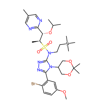 COc1ccc(Br)c(-c2nnc(N(CC[Si](C)(C)C)S(=O)(=O)[C@@H](C)[C@@H](OC(C)C)c3ncc(C)cn3)n2C2COC(C)(C)OC2)c1